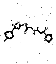 CC/C(=C\C(I)NCC(=O)Nc1cc(-c2ccc(C)cc2)[nH]n1)c1cccs1